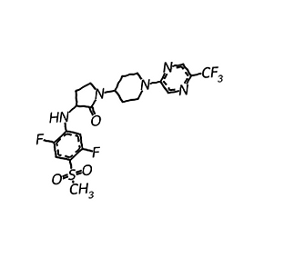 CS(=O)(=O)c1cc(F)c(NC2CCN(C3CCN(c4cnc(C(F)(F)F)cn4)CC3)C2=O)cc1F